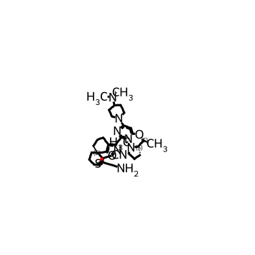 C[C@H](Oc1cc(N2CCC(N(C)C)CC2)nc(-c2noc3c2CCC[C@@]32CCCc3sc(N)c(C#N)c32)n1)[C@@H]1CCCN1C